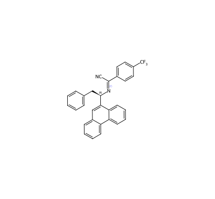 N#C/C(=N\[C@H](Cc1ccccc1)c1cc2ccccc2c2ccccc12)c1ccc(C(F)(F)F)cc1